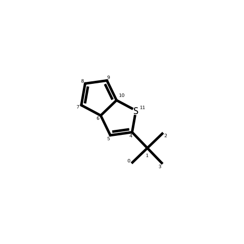 CC(C)(C)C1=CC2C=CC=C2S1